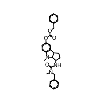 CN(Cc1ccccc1)C(=O)NC1CCC2c3cc(OC(=O)OCc4ccccc4)ccc3N(C)C12